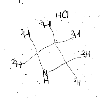 Cl.[2H]C1([2H])NC([2H])([2H])C1([2H])[2H]